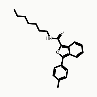 CCCCCCCNC(=O)c1oc(-c2ccc(C)cc2)c2ccccc12